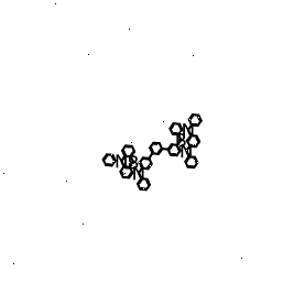 c1ccc(N2c3ccccc3B3c4cc(-c5cccc(-c6ccc7c(c6)B6c8ccccc8N(c8ccccc8)c8cccc(c86)N7c6ccccc6)c5)ccc4N(c4ccccc4)c4cccc2c43)cc1